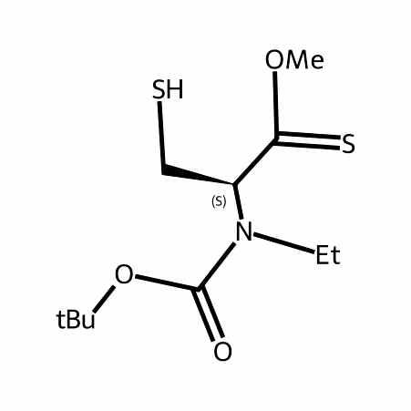 CCN(C(=O)OC(C)(C)C)[C@@H](CS)C(=S)OC